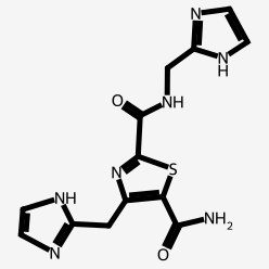 NC(=O)c1sc(C(=O)NCc2ncc[nH]2)nc1Cc1ncc[nH]1